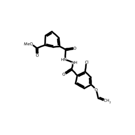 C=COc1ccc(C(=O)NNC(=O)c2cccc(C(=O)OC)c2)c(Cl)c1